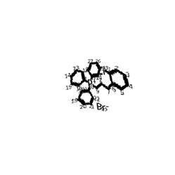 Clc1ccccc1CCC[P+](c1ccccc1)(c1ccccc1)c1ccccc1.[Br-]